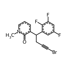 Cn1cccc(C(CC#CBr)c2cc(F)cc(F)c2F)c1=O